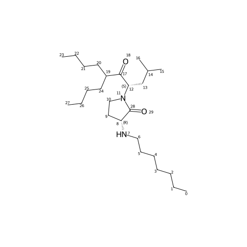 CCCCCCCN[C@@H]1CCN([C@@H](CC(C)C)C(=O)C(CCCC)CCCC)C1=O